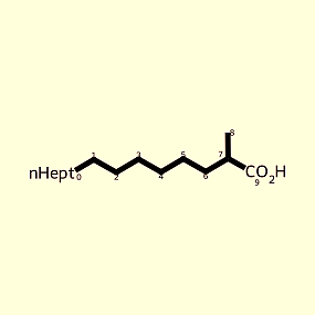 CCCCCCCCCCCCCC(C)C(=O)O